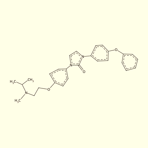 CC(C)N(C)CCOc1ccc(-n2ccn(-c3ccc(Oc4ccccc4)cc3)c2=O)cc1